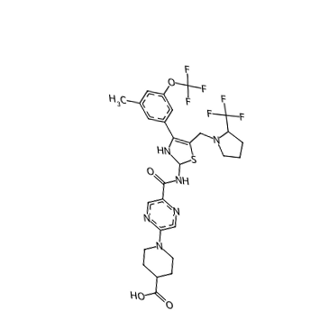 Cc1cc(OC(F)(F)F)cc(C2=C(CN3CCCC3C(F)(F)F)SC(NC(=O)c3cnc(N4CCC(C(=O)O)CC4)cn3)N2)c1